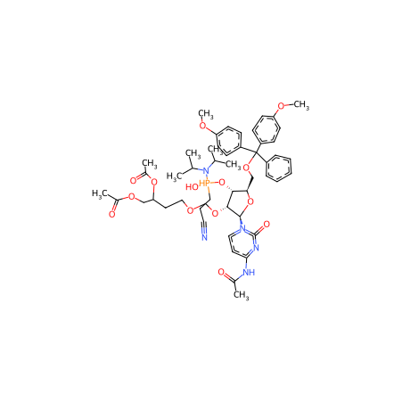 COc1ccc(C(OC[C@H]2O[C@@H](n3ccc(NC(C)=O)nc3=O)[C@H](OCOCCC(COC(C)=O)OC(C)=O)[C@@H]2O[PH](O)(CCC#N)N(C(C)C)C(C)C)(c2ccccc2)c2ccc(OC)cc2)cc1